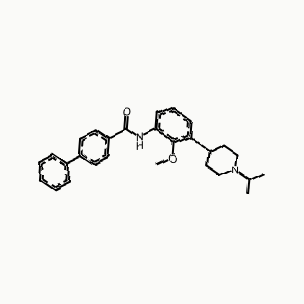 COc1c(NC(=O)c2ccc(-c3ccccc3)cc2)cccc1C1CCN(C(C)C)CC1